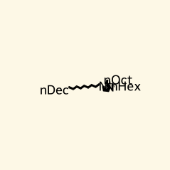 CCCCCCCCCCCCCCCCCCC[n+]1ccn(CCCCCC)c1CCCCCCCC